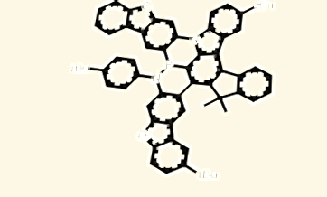 CC(C)(C)c1ccc(N2B3c4cc5c(cc4-n4c6ccc(C(C)(C)C)cc6c6c7c(c(c3c64)-c3cc4c(cc32)oc2ccc(C(C)(C)C)cc24)C(C)(C)c2ccccc2-7)oc2ccccc25)cc1